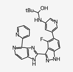 CC(C)(C)C(O)Nc1cncc(-c2ccc3[nH]nc(-c4nc5c(-c6ccccn6)nccc5[nH]4)c3c2F)c1